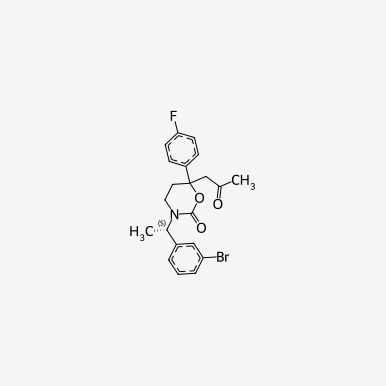 CC(=O)CC1(c2ccc(F)cc2)CCN([C@@H](C)c2cccc(Br)c2)C(=O)O1